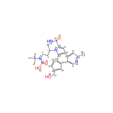 CC(C)(C)N(CCC1CNC(=O)c2cc(-c3ccnc(Cl)c3)c(-c3ccc(CO)cc3)n21)C(=O)O